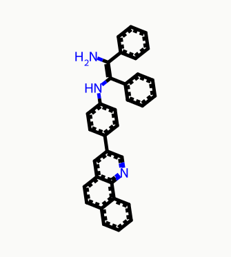 N/C(=C(\Nc1ccc(-c2cnc3c(ccc4ccccc43)c2)cc1)c1ccccc1)c1ccccc1